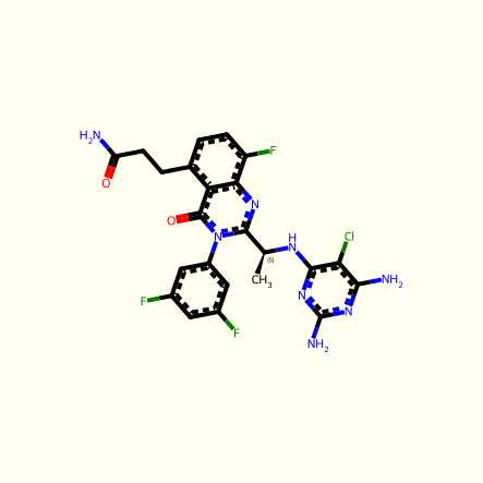 C[C@H](Nc1nc(N)nc(N)c1Cl)c1nc2c(F)ccc(CCC(N)=O)c2c(=O)n1-c1cc(F)cc(F)c1